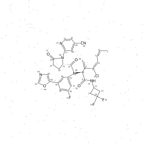 C=C(/C(Cl)=C\C=C/C)[C@@H](C(=O)NC1CC(F)(F)C1)N(C(=O)[C@@H]1CCC(=O)N1c1cc(C#N)ccn1)c1cc(F)cc(-c2cnco2)c1